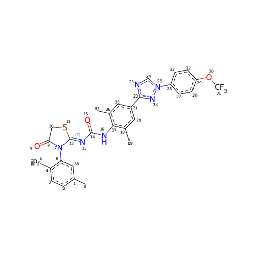 Cc1ccc(C(C)C)c(N2C(=O)CS/C2=N\C(=O)Nc2c(C)cc(-c3ncn(-c4ccc(OC(F)(F)F)cc4)n3)cc2C)c1